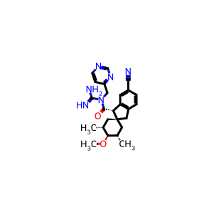 CO[C@H]1[C@H](C)C[C@@]2(Cc3ccc(C#N)cc3[C@H]2C(=O)N(Cc2ccncn2)C(=N)N)C[C@@H]1C